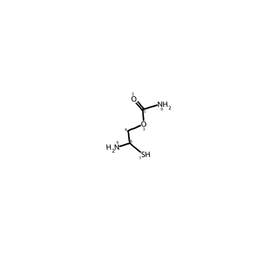 NC(=O)OCC(N)S